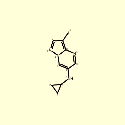 Ic1cnn2cc(NC3CC3)cnc12